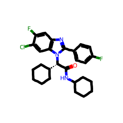 O=C(NC1CCCCC1)[C@H](C1CCCCC1)n1c(-c2ccc(F)cc2)nc2cc(F)c(Cl)cc21